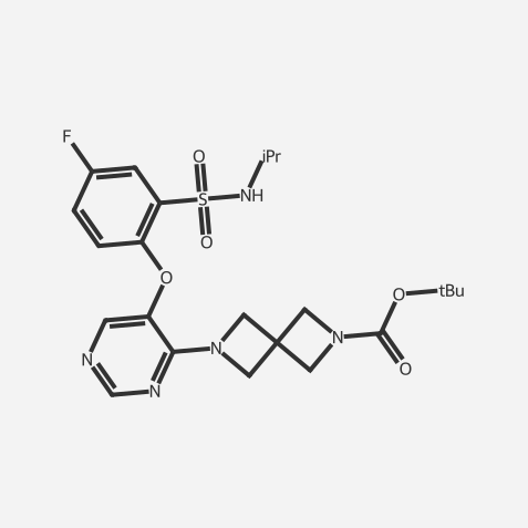 CC(C)NS(=O)(=O)c1cc(F)ccc1Oc1cncnc1N1CC2(CN(C(=O)OC(C)(C)C)C2)C1